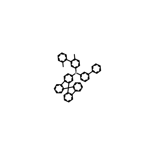 Cc1ccccc1-c1cc(N(c2cccc(-c3ccccc3)c2)c2ccc3c(c2)C2(c4ccccc4-c4ccccc42)c2ccccc2-3)ccc1C